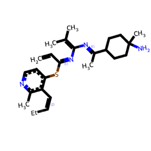 C=C/C(=N\C(/N=C(\C)C1CCC(C)(N)CC1)=C(C)C)Sc1ccnc(C)c1/C=C\CC